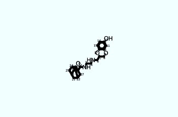 O=C(NCCNCC1COc2cc(O)ccc2O1)C12CC3CC(CC(C3)C1)C2